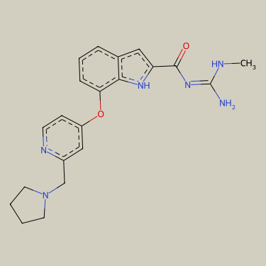 CNC(N)=NC(=O)c1cc2cccc(Oc3ccnc(CN4CCCC4)c3)c2[nH]1